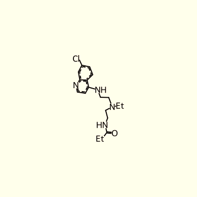 CCC(=O)NCCN(CC)CCNc1ccnc2cc(Cl)ccc12